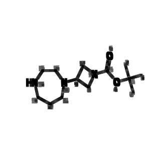 CC(C)(C)OC(=O)N1CC(N2CCCNCC2)C1